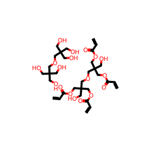 C=CC(=O)OCC(CO)(COCC(CO)(COC(=O)C=C)COC(=O)C=C)COC(=O)C=C.OCC(CO)(CO)COCC(CO)(CO)CO